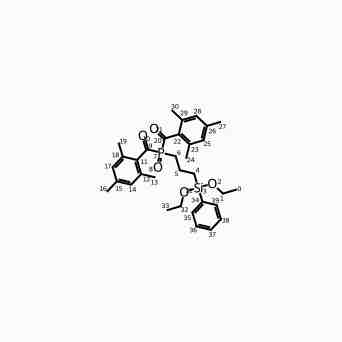 CCO[Si](CCCP(=O)(C(=O)c1c(C)cc(C)cc1C)C(=O)c1c(C)cc(C)cc1C)(OCC)c1ccccc1